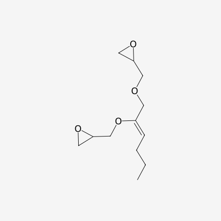 CCCC=C(COCC1CO1)OCC1CO1